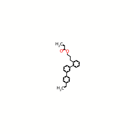 C=CC(=O)OCCCc1ccccc1-c1cccc(-c2ccc(C=C)cc2)c1